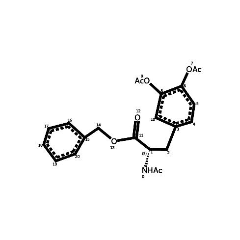 CC(=O)N[C@@H](Cc1ccc(OC(C)=O)c(OC(C)=O)c1)C(=O)OCc1ccccc1